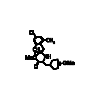 COC(=O)C(CC1CCN(OC)CC1)NC(=O)Cc1c(C)cc(Cl)cc1C